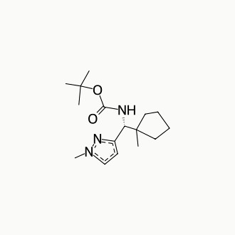 Cn1ccc([C@H](NC(=O)OC(C)(C)C)C2(C)CCCC2)n1